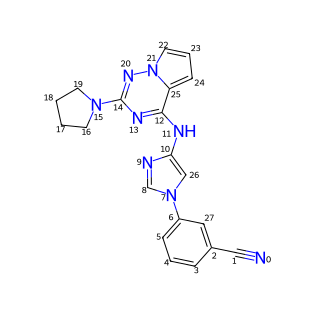 N#Cc1cccc(-n2cnc(Nc3nc(N4CCCC4)nn4cccc34)c2)c1